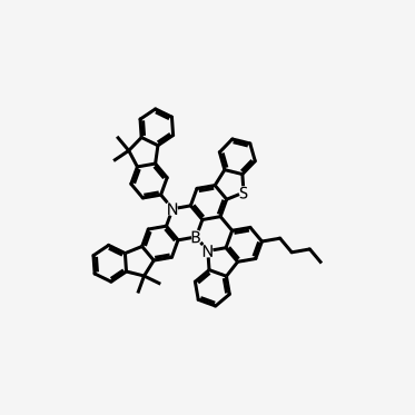 CCCCc1cc2c3c(c1)c1ccccc1n3B1c3cc4c(cc3N(c3ccc5c(c3)-c3ccccc3C5(C)C)c3cc5c(sc6ccccc65)c-2c31)-c1ccccc1C4(C)C